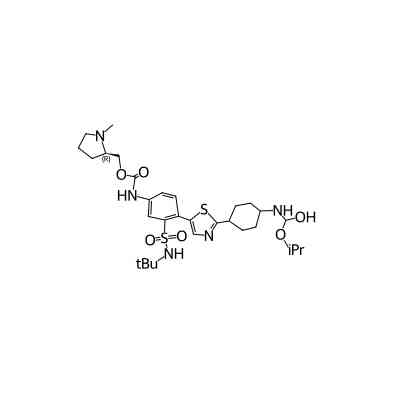 CC(C)OC(O)NC1CCC(c2ncc(-c3ccc(NC(=O)OC[C@H]4CCCN4C)cc3S(=O)(=O)NC(C)(C)C)s2)CC1